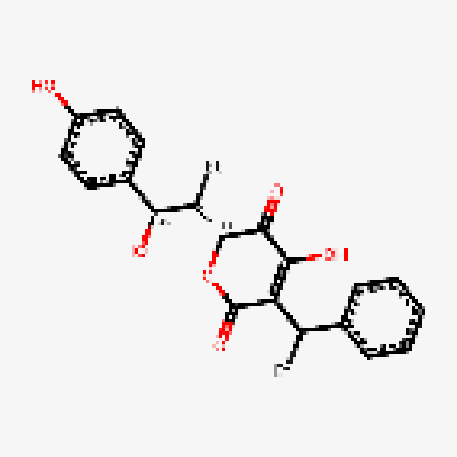 CCC(C1=C(O)C(=O)[C@@H](C(CC)[C@@H](O)c2ccc(O)cc2)OC1=O)c1ccccc1